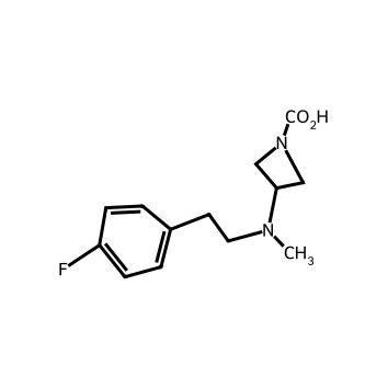 CN(CCc1ccc(F)cc1)C1CN(C(=O)O)C1